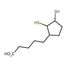 O=C(O)CCCCC1CCC(S)C1S